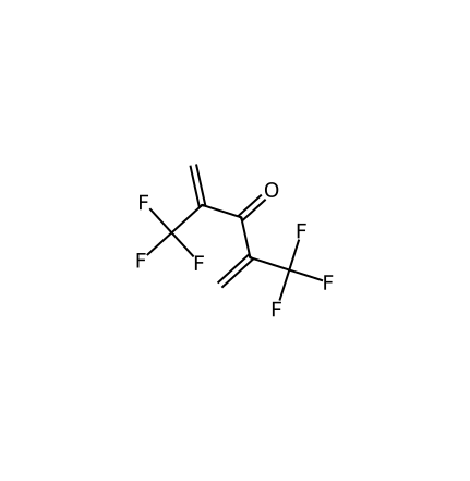 C=C(C(=O)C(=C)C(F)(F)F)C(F)(F)F